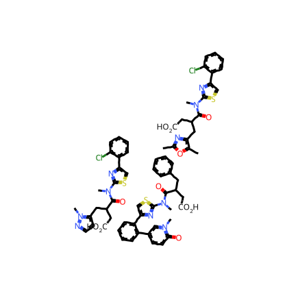 CN(C(=O)C(CC(=O)O)Cc1ccccc1)c1nc(-c2ccccc2-c2ccc(=O)n(C)c2)cs1.CN(C(=O)C(CC(=O)O)Cc1ccnn1C)c1nc(-c2ccccc2Cl)cs1.Cc1nc(CC(CC(=O)O)C(=O)N(C)c2nc(-c3ccccc3Cl)cs2)c(C)o1